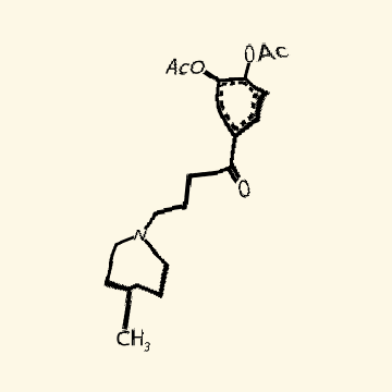 CC(=O)Oc1ccc(C(=O)CCCN2CCC(C)CC2)cc1OC(C)=O